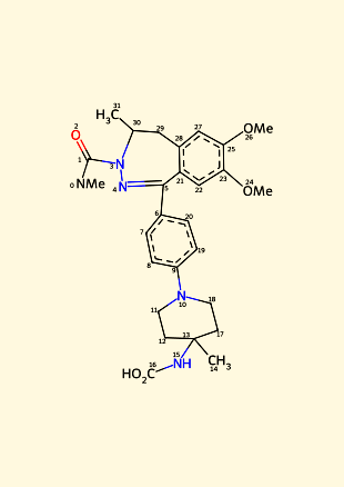 CNC(=O)N1N=C(c2ccc(N3CCC(C)(NC(=O)O)CC3)cc2)c2cc(OC)c(OC)cc2CC1C